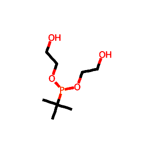 CC(C)(C)P(OCCO)OCCO